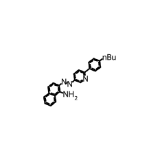 CCCCc1ccc(-c2ccc(N=Nc3ccc4ccccc4c3N)cn2)cc1